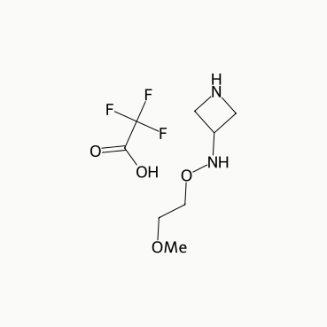 COCCONC1CNC1.O=C(O)C(F)(F)F